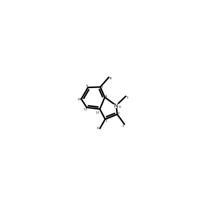 Cc1c(C)n(C)c2c(C)cccc12